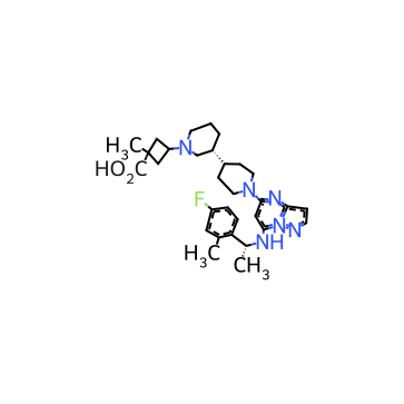 Cc1cc(F)ccc1[C@@H](C)Nc1cc(N2CCC([C@H]3CCCN(C4CC(C)(C(=O)O)C4)C3)CC2)nc2ccnn12